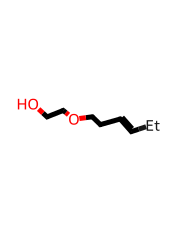 CCC=CCCOCCO